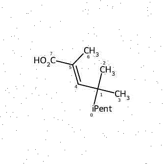 CCCC(C)C(C)(C)C=C(C)C(=O)O